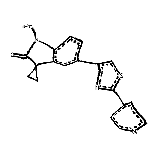 CC(C)N1C(=O)C2(CC2)c2cc(-c3csc(-c4ccncc4)n3)ccc21